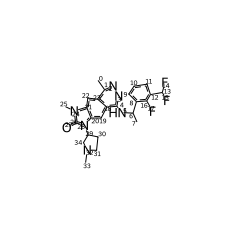 Cc1nnc(NC(C)c2cccc(C(F)F)c2F)c2cc3c(cc12)n(C)c(=O)n3C1CCN(C)C1